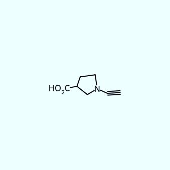 C#CN1CCC(C(=O)O)C1